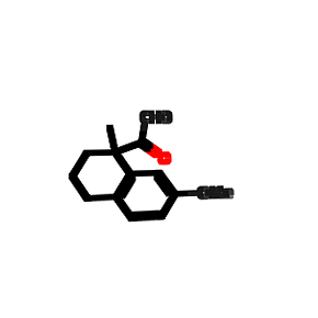 COc1ccc2c(c1)C(C)(C(=O)C=O)CCC2